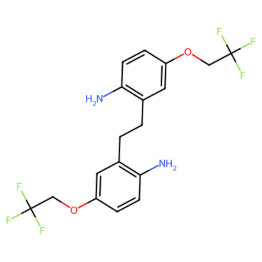 Nc1ccc(OCC(F)(F)F)cc1CCc1cc(OCC(F)(F)F)ccc1N